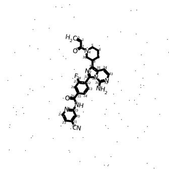 C=CC(=O)N1CCCC(c2nc(-c3ccc(C(=O)Nc4cc(C#N)ccn4)cc3F)n3c(N)nccc23)C1